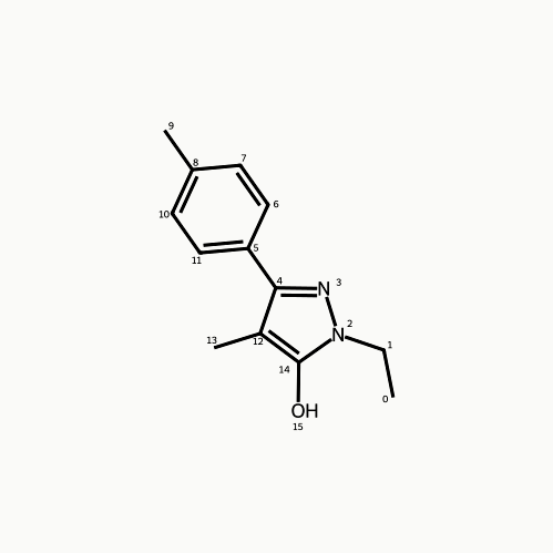 CCn1nc(-c2ccc(C)cc2)c(C)c1O